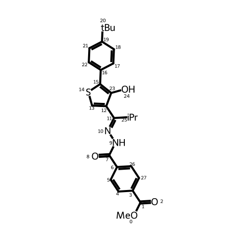 COC(=O)c1ccc(C(=O)N/N=C(/c2csc(-c3ccc(C(C)(C)C)cc3)c2O)C(C)C)cc1